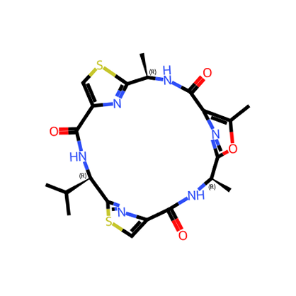 Cc1oc2nc1C(=O)N[C@H](C)c1nc(cs1)C(=O)N[C@H](C(C)C)c1nc(cs1)C(=O)N[C@@H]2C